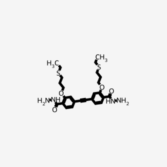 CCSCCCOc1cc(C#Cc2ccc(C(=O)NN)c(OCCCSCC)c2)ccc1C(=O)NN